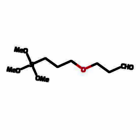 CO[Si](CCCOCCC=O)(OC)OC